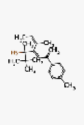 C=C(/C=C(\C(C)=C/C)C(C)(S)C(C)(C)C)c1ccc(C)cc1